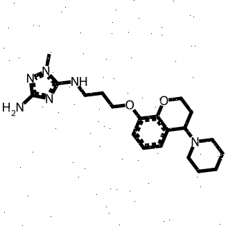 Cn1nc(N)nc1NCCCOc1cccc2c1OCCC2N1CCCCC1